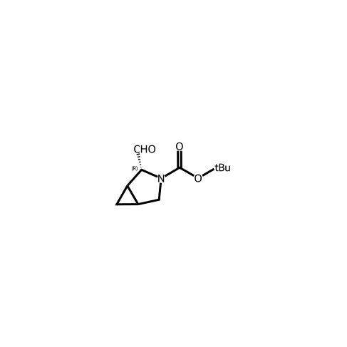 CC(C)(C)OC(=O)N1CC2CC2[C@@H]1C=O